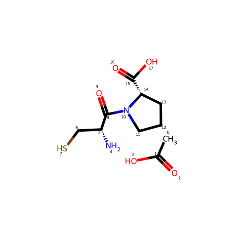 CC(=O)O.N[C@H](CS)C(=O)N1CCC[C@H]1C(=O)O